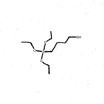 CCO[Si](CCCCS)(OCC)OCC